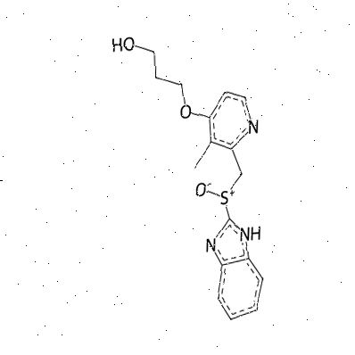 Cc1c(OCCCO)ccnc1C[S+]([O-])c1nc2ccccc2[nH]1